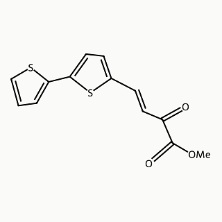 COC(=O)C(=O)C=Cc1ccc(-c2cccs2)s1